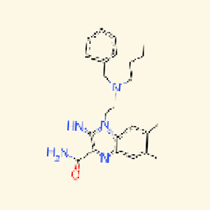 CCCCN(CCn1c(=N)c(C(N)=O)nc2cc(C)c(C)cc21)Cc1ccccc1